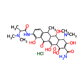 CC1c2ccc(NC(=O)C(C)N(C)C)c(O)c2C(=O)C2=C(O)[C@]3(O)C(=O)C(C(N)=O)=C(O)[C@@H](N(C)C)C3C(O)C21.Cl